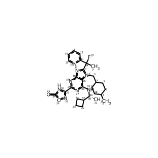 CC1CCC(Cn2c(C(C)(F)c3ccccn3)nc3nc(-c4noc(=O)[nH]4)nc(N[C@H](C)C4CCC4)c32)CC1